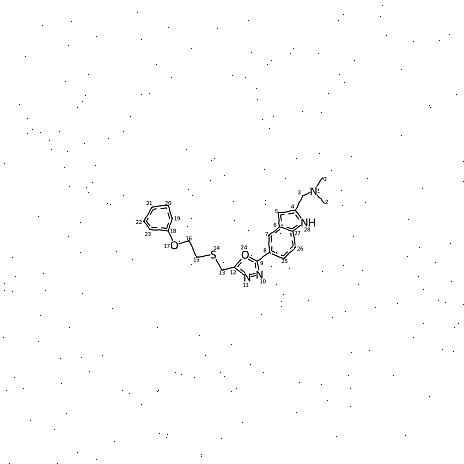 CN(C)Cc1cc2cc(-c3nnc(CSCCOc4ccccc4)o3)ccc2[nH]1